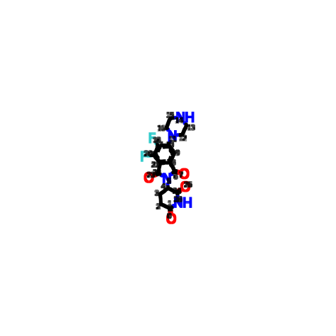 O=C1CCC(N2C(=O)c3cc(N4CCNCC4)c(F)c(F)c3C2=O)C(=O)N1